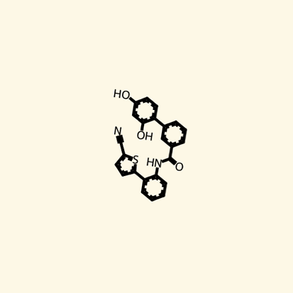 N#Cc1ccc(-c2ccccc2NC(=O)c2cccc(-c3ccc(O)cc3O)c2)s1